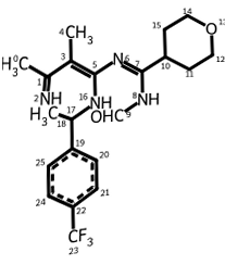 CC(=N)/C(C)=C(/N=C(\NC=O)C1CCOCC1)NC(C)c1ccc(C(F)(F)F)cc1